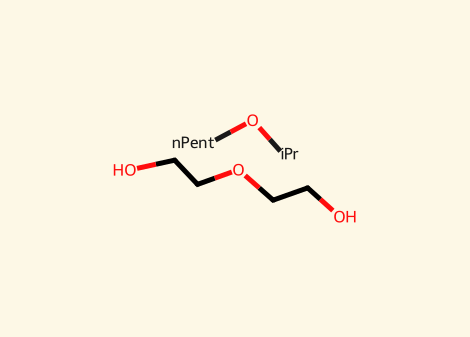 CCCCCOC(C)C.OCCOCCO